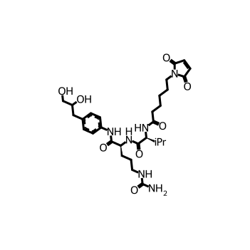 CC(C)[C@H](NC(=O)CCCCCN1C(=O)C=CC1=O)C(=O)N[C@@H](CCCNC(N)=O)C(=O)Nc1ccc(CC(O)CO)cc1